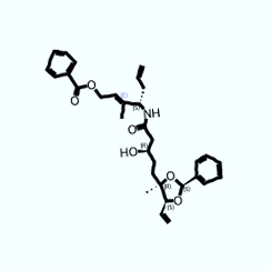 C=CC[C@H](NC(=O)C[C@H](O)CC[C@@]1(C)O[C@@H](c2ccccc2)O[C@H]1C=C)/C(C)=C/COC(=O)c1ccccc1